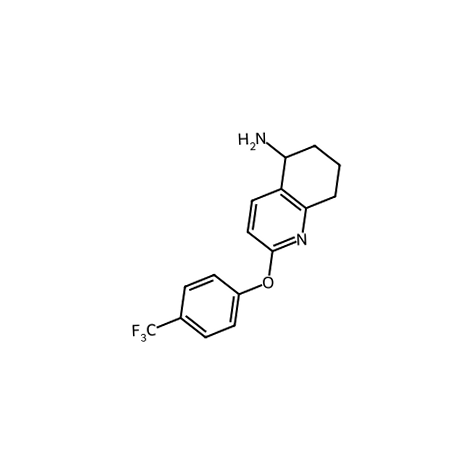 NC1CCCc2nc(Oc3ccc(C(F)(F)F)cc3)ccc21